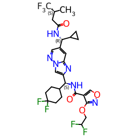 C[C@@H](CC(=O)N[C@@H](c1cnn2cc([C@@H](NC(=O)c3conc3OCC(F)F)C3CCC(F)(F)CC3)nc2c1)C1CC1)C(F)(F)F